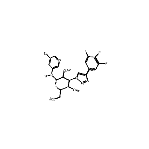 CC(=O)OCC1OC([S+]([O-])c2cncc(Cl)c2)C(OC(C)=O)C(n2cc(-c3cc(F)c(F)c(F)c3)nn2)C1OC(C)=O